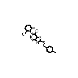 Cc1ccc(CSc2nc3ncn(-c4c(C)cccc4Cl)c(=O)c3s2)cc1